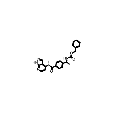 CC(NC(=O)OCc1ccccc1)c1ccc(C(=O)Nc2ccnc3[nH]ncc23)cc1